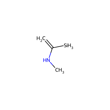 C=C([SiH3])NC